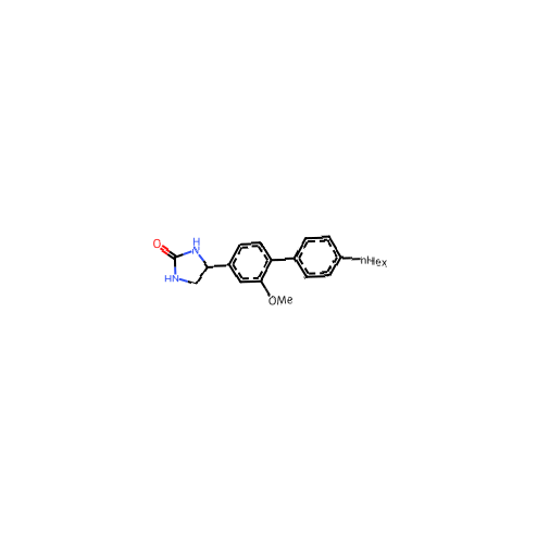 CCCCCCc1ccc(-c2ccc(C3CNC(=O)N3)cc2OC)cc1